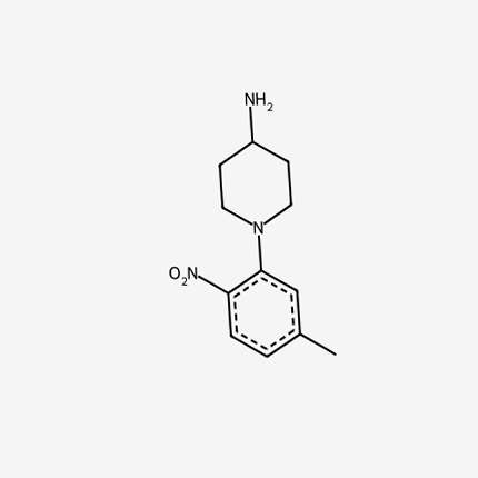 Cc1ccc([N+](=O)[O-])c(N2CCC(N)CC2)c1